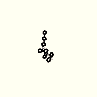 c1ccc(-c2ccc(-c3ccc(-n4c5ccccc5c5c6c7ccccc7n(-c7cccc8oc9ccccc9c78)c6ccc54)cc3)cc2)cc1